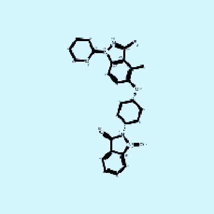 Cc1c(O[C@H]2CC[C@@H](N3C(=O)c4ccccc4[N+]3=O)CC2)ccc2c1c(Br)nn2C1CCCCO1